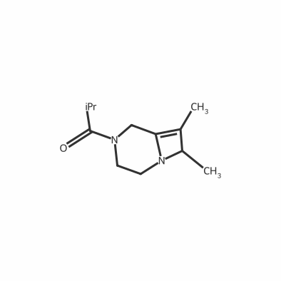 CC1=C2CN(C(=O)C(C)C)CCN2C1C